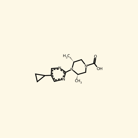 C[C@@H]1CN(C(=O)O)C[C@H](C)N1c1ncc(C2CC2)cn1